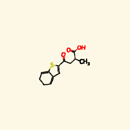 CC(CC(=O)c1cc2c(s1)=CCCC=2)C(=O)O